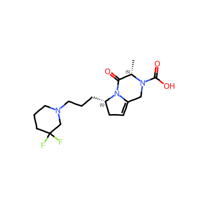 C[C@H]1C(=O)N2C(=CC[C@@H]2CCCN2CCCC(F)(F)C2)CN1C(=O)O